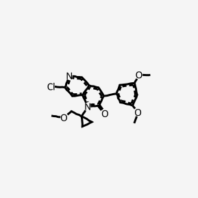 COCC1(n2c(=O)c(-c3cc(OC)cc(OC)c3)cc3cnc(Cl)cc32)CC1